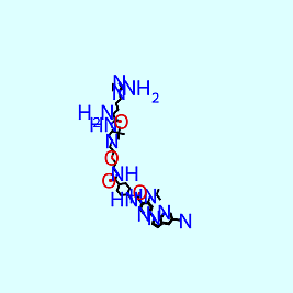 CC(C)Nc1cc(-n2ccc3cc(C#N)cnc32)ncc1C(=O)NC1CCC(C(=O)NCCOCCN2C[C@H](NC(=O)[C@@H](N)CCCn3ccnc3N)C(C)(C)C2)CC1